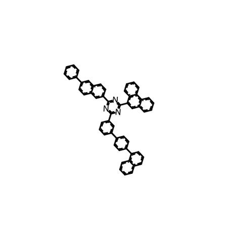 c1ccc(-c2ccc3cc(-c4nc(-c5cccc(-c6ccc(-c7cccc8ccccc78)cc6)c5)nc(-c5cc6ccccc6c6ccccc56)n4)ccc3c2)cc1